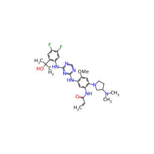 C=CC(=O)Nc1cc(Nc2ncnc(Nc3cc(F)c(F)cc3C(C)(C)O)n2)c(OC)cc1N1CCC(N(C)C)C1